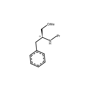 COC[C@H](Cc1ccccc1)NC(C)C